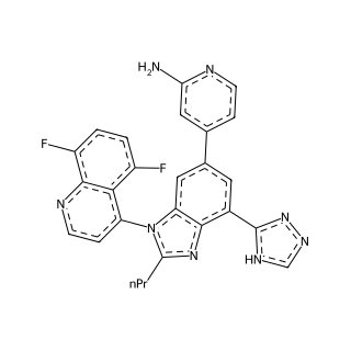 CCCc1nc2c(-c3nnc[nH]3)cc(-c3ccnc(N)c3)cc2n1-c1ccnc2c(F)ccc(F)c12